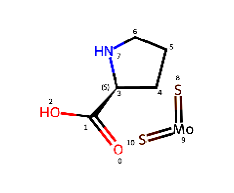 O=C(O)[C@@H]1CCCN1.[S]=[Mo]=[S]